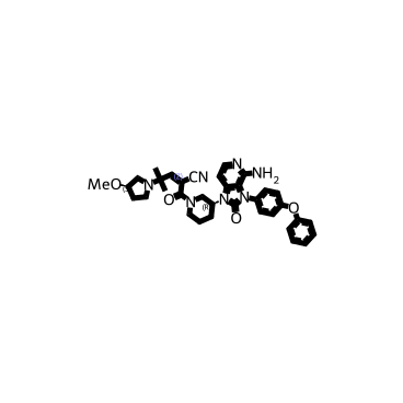 CO[C@H]1CCN(C(C)(C)/C=C(/C#N)C(=O)N2CCC[C@@H](n3c(=O)n(-c4ccc(Oc5ccccc5)cc4)c4c(N)nccc43)C2)C1